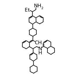 CCC(CN)C1=CCC(C2CCC(/C(C)=C3\C=CCCC3C(CNC3C=CCC4CCCCC43)C3=CCC(C4CCCCC4)CC3)CC2)C2CCC=CC12